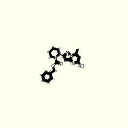 Cc1cc(Cl)nc2cc([C@@H]3CCCCN3C(=O)OCc3ccccc3)nn12